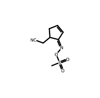 CS(=O)(=O)ON=C1C=CCC1CC#N